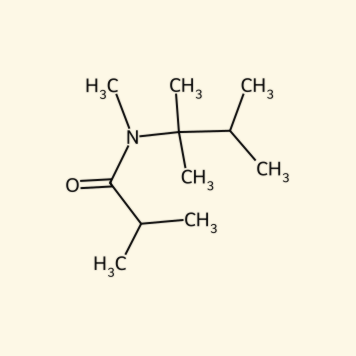 CC(C)C(=O)N(C)C(C)(C)C(C)C